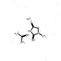 CN1CC(=O)NC1=N.Cl.N=C(N)N